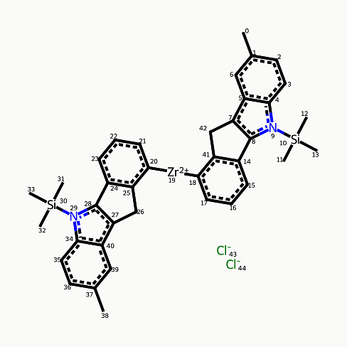 Cc1ccc2c(c1)c1c(n2[Si](C)(C)C)-c2ccc[c]([Zr+2][c]3cccc4c3Cc3c-4n([Si](C)(C)C)c4ccc(C)cc34)c2C1.[Cl-].[Cl-]